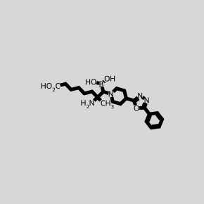 CC(N)(CCCCCC(=O)O)C(B(O)O)N1CCC(c2nnc(-c3ccccc3)o2)CC1